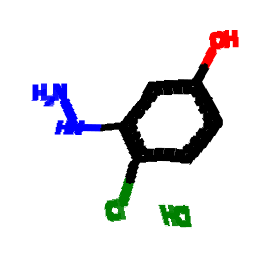 Cl.NNc1cc(O)ccc1Cl